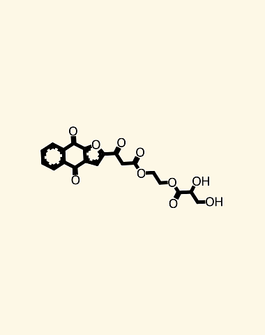 O=C(CC(=O)c1cc2c(o1)C(=O)c1ccccc1C2=O)OCCOC(=O)C(O)CO